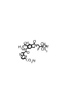 CN(C)c1cc2c(cc1NC(=O)c1cnn3ccc(C(=O)O)nc13)CN(CC(F)C(C)(C)O)C2=O